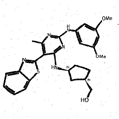 COc1cc(Nc2nc(C)c(-c3nc4ccccc4s3)c(N[C@H]3CC[C@@H](CO)C3)n2)cc(OC)c1